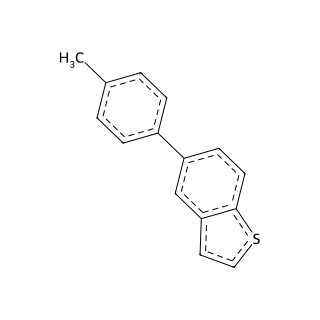 Cc1ccc(-c2ccc3sccc3c2)cc1